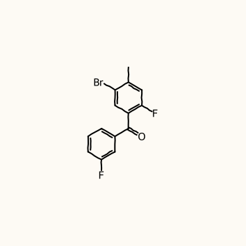 Cc1cc(F)c(C(=O)c2cccc(F)c2)cc1Br